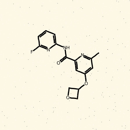 Cc1cc(OC2COC2)cc(C(=O)Nc2cccc(F)n2)n1